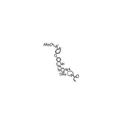 C=CC(=O)N1CCC(Nc2cc3c(Nc4ccc(Oc5ccnc(N(C)CCOC)c5)cc4F)ncnc3cc2OC)CC1